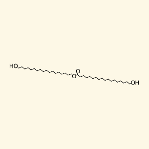 O=C(CCCCCCCCCCCCCCCCCO)OCCCCCCCCCCCCCCCCCCO